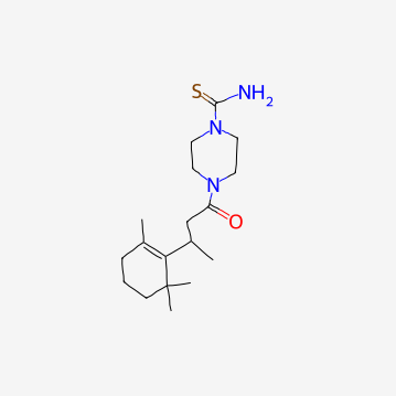 CC1=C(C(C)CC(=O)N2CCN(C(N)=S)CC2)C(C)(C)CCC1